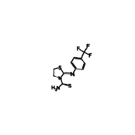 NC(=S)N1CCSC1=Nc1ccc(C(F)(F)F)cc1